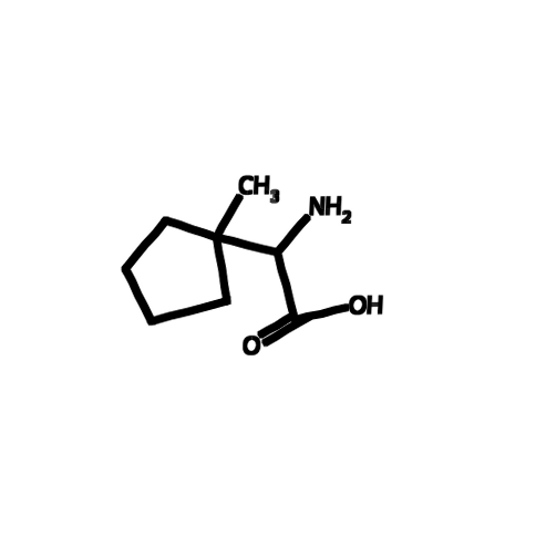 CC1(C(N)C(=O)O)CCCC1